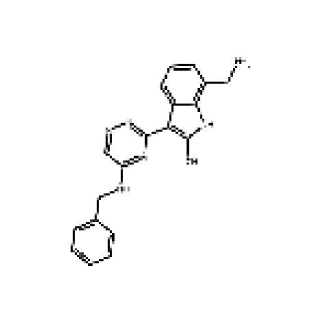 Cc1[nH]c2c(CN)cccc2c1-c1nncc(NCc2ccccc2)n1